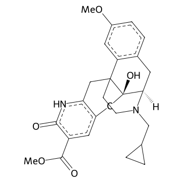 COC(=O)c1cc2c([nH]c1=O)CC13CCN(CC4CC4)[C@H](Cc4ccc(OC)cc41)[C@]3(O)C2